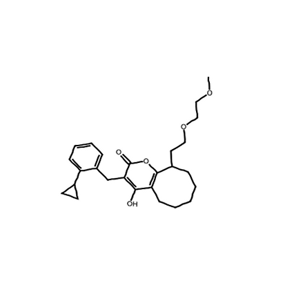 COCCOCCC1CCCCCc2c1oc(=O)c(Cc1ccccc1C1CC1)c2O